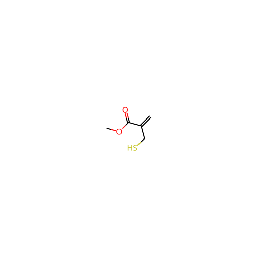 C=C(CS)C(=O)OC